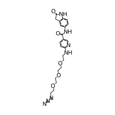 [N-]=[N+]=NCCOCCOCCOCCNc1ccc(C(=O)Nc2ccc3c(c2)CC(=O)N3)cn1